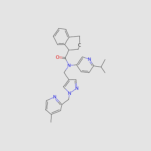 Cc1ccnc(Cn2cc(CN(C(=O)C3CCCc4ccccc43)c3ccc(C(C)C)nc3)cn2)c1